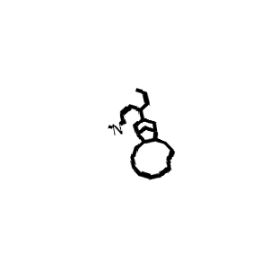 C/C=C\C(/C=C\C=N/C)C1CC2CC(C1)C1CCC\C=C/C=C\C=C\CC21